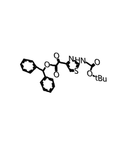 CC(C)(C)OC(=O)Nc1nc(C(=O)C(=O)OC(c2ccccc2)c2ccccc2)cs1